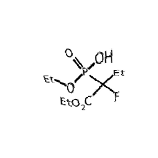 CCOC(=O)C(F)(CC)P(=O)(O)OCC